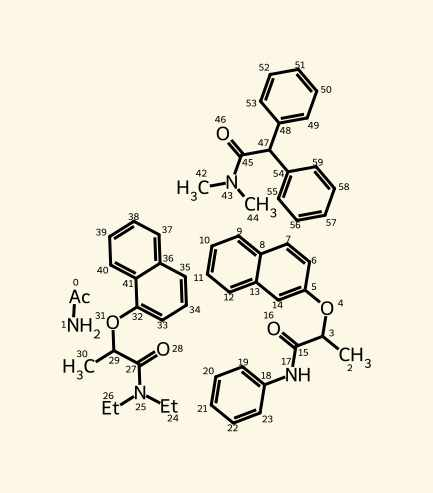 CC(N)=O.CC(Oc1ccc2ccccc2c1)C(=O)Nc1ccccc1.CCN(CC)C(=O)C(C)Oc1cccc2ccccc12.CN(C)C(=O)C(c1ccccc1)c1ccccc1